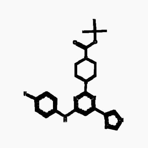 CC(C)(C)OC(=O)N1CCN(c2nc(Nc3ccc(F)cc3)cc(-c3cncs3)n2)CC1